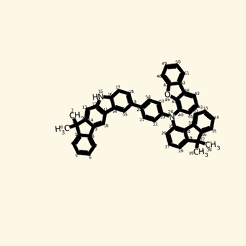 CC1(C)c2ccccc2-c2cc3c(cc21)NC1CC=C(c2ccc(N(c4cccc5c4-c4ccccc4C5(C)C)c4cccc5c4oc4ccccc45)cc2)C=C31